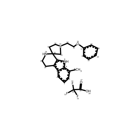 Cc1cccc2c3c([nH]c12)C1(CCN(CCOc2ccccc2)C1)NCC3.O=C(O)C(F)(F)F